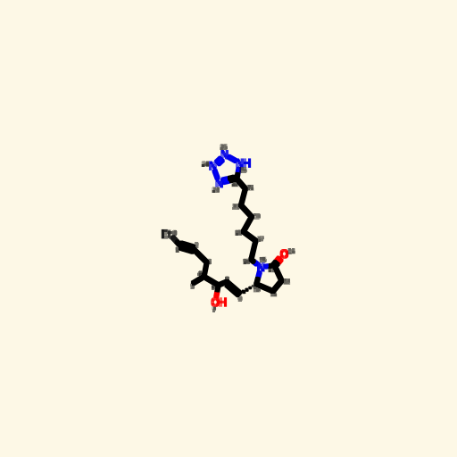 CCC#CCC(C)C(O)/C=C/[C@H]1CCC(=O)N1CCCCCCc1nnn[nH]1